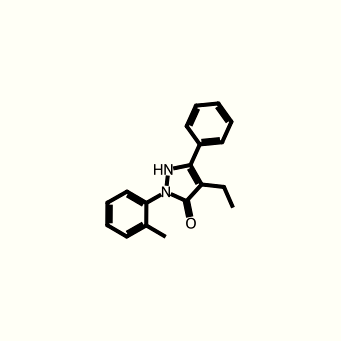 CCc1c(-c2ccccc2)[nH]n(-c2ccccc2C)c1=O